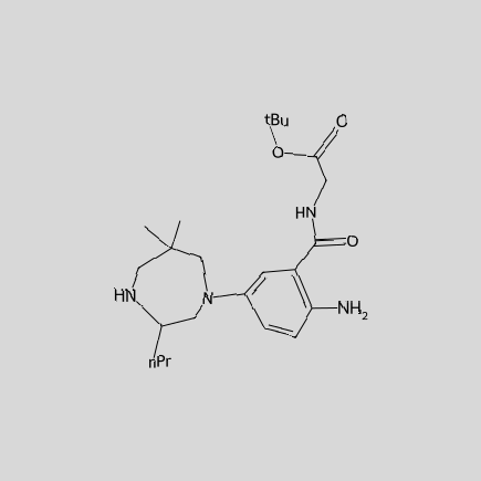 CCCC1CN(c2ccc(N)c(C(=O)NCC(=O)OC(C)(C)C)c2)CC(C)(C)CN1